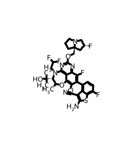 CC1Oc2c(Cl)c(-c3ccc(F)c4sc(N)c(C#N)c34)c(F)c3nc(OC[C@@]45CCCN4C[C@H](F)C5)nc(c23)N(CC(F)F)[C@H]1C(C)(C)O